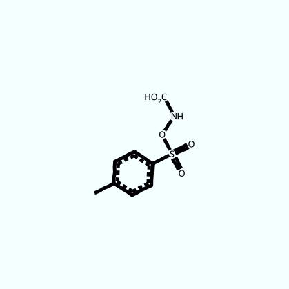 Cc1ccc(S(=O)(=O)ONC(=O)O)cc1